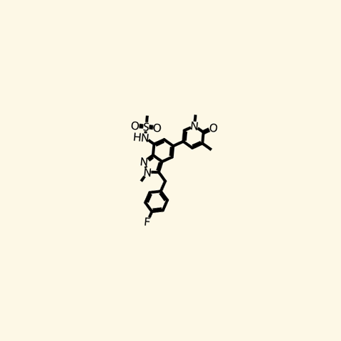 Cc1cc(-c2cc(NS(C)(=O)=O)c3nn(C)c(Cc4ccc(F)cc4)c3c2)cn(C)c1=O